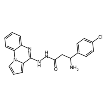 NC(CC(=O)NNc1nc2ccccc2n2cccc12)c1ccc(Cl)cc1